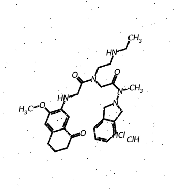 CCNCCN(CC(=O)N(C)N1Cc2ccccc2C1)C(=O)CNc1cc2c(cc1OC)CCCC2=O.Cl.Cl